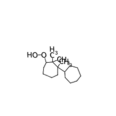 CC1(C)C(OO)CCCCC1(C)C1CCCCCC1